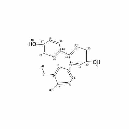 CCc1ccccc1C.Oc1ccc(-c2ccc(O)cc2)cc1